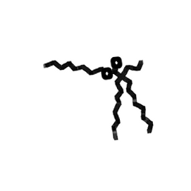 CCCCCCCCOC(=O)C(CCC)(CCCCCCCC)CCCCCCCC